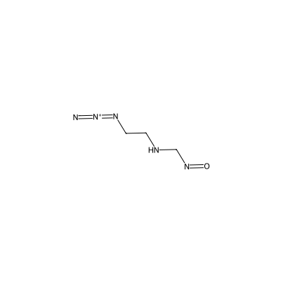 [N-]=[N+]=NCCNCN=O